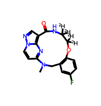 [2H]C1([2H])NC(=O)c2cnn3ccc(nc23)N(C)Cc2cc(F)ccc2OC1([2H])[2H]